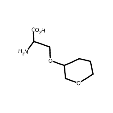 NC(COC1CCCOC1)C(=O)O